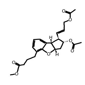 COC(=O)CCCc1cccc2c1O[C@H]1C[C@@H](OC(C)=O)[C@H](/C=C/COC(C)=O)[C@@H]21